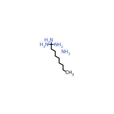 CCCCCCCCC(N)(N)N.N